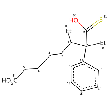 CCC(CCCCC(=O)O)C(CC)(C(O)=S)c1ccccc1